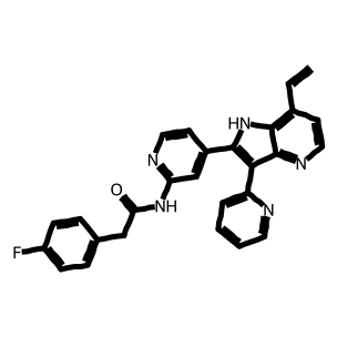 C=Cc1ccnc2c(-c3ccccn3)c(-c3ccnc(NC(=O)Cc4ccc(F)cc4)c3)[nH]c12